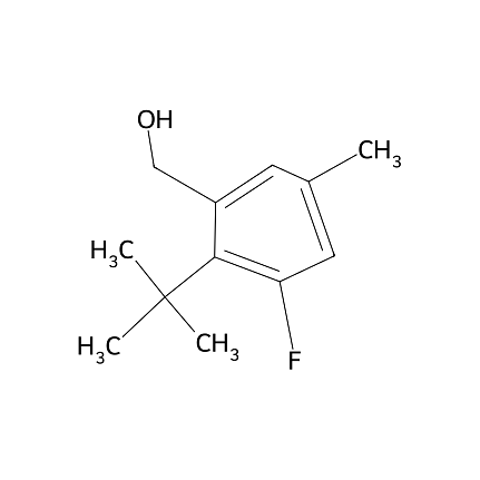 Cc1cc(F)c(C(C)(C)C)c(CO)c1